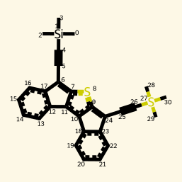 C[Si](C)(C)C#CC1=c2sc3c(c2-c2ccccc21)-c1ccccc1C=3C#CS(C)(C)C